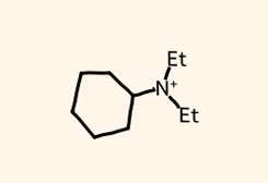 CC[N+](CC)C1CCCCC1